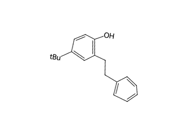 CC(C)(C)c1ccc(O)c(CCc2ccccc2)c1